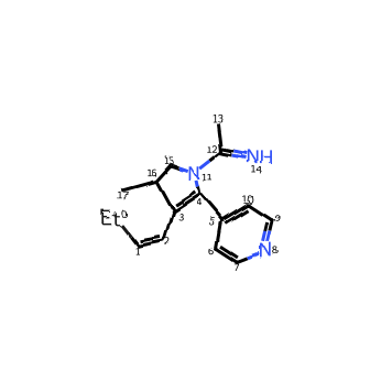 CC/C=C\C1=C(c2ccncc2)N(C(C)=N)CC1C